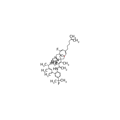 C=CN(CC1=CCC=C(CCCCC(=C)C)C=C1F)N(C)C1(/C(C)=C(\C)C(=C)Nc2ccc(C(C)(C)F)cc2C(=C)/C=C(\C)C(C)F)CCCC1